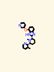 Cc1cccnc1[C@@H]1CCC[C@H](c2nc3cccc(Oc4cccnc4)c3[nH]2)N1C